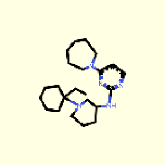 CCC1(N2CCCC(Nc3nccc(N4CCCCCC4)n3)C2)CCCCC1